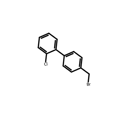 Clc1ccccc1-c1ccc(CBr)cc1